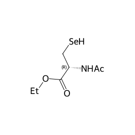 CCOC(=O)[C@H](C[SeH])NC(C)=O